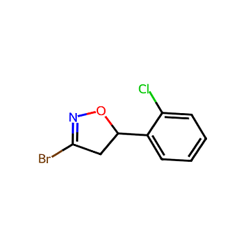 Clc1ccccc1C1CC(Br)=NO1